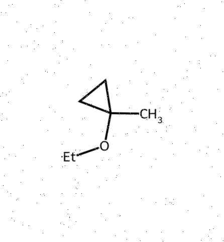 C[CH]OC1(C)CC1